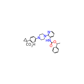 CC(OC(=O)Nc1cccnc1N1CCN(c2ccc(C3(C(=O)O)CC3)cc2)CC1)c1ccccc1